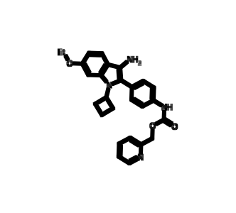 CCOc1ccc2c(N)c(-c3ccc(NC(=O)OCc4ccccn4)cc3)n(C3CCC3)c2c1